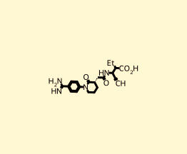 C#CC(NC(=O)C[C@@H]1CCCN(c2ccc(C(=N)N)cc2)C1=O)C(CC)C(=O)O